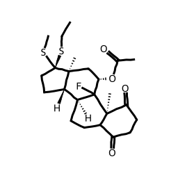 CCS[C@]1(SC)CC[C@H]2[C@@H]3CCC4C(=O)CCC(=O)[C@]4(C)C3(F)[C@@H](OC(C)=O)C[C@@]21C